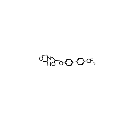 OC(COc1ccc(-c2ccc(C(F)(F)F)cc2)cc1)CN1CCOCC1